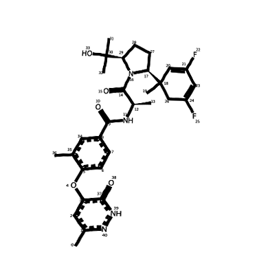 Cc1cc(Oc2ccc(C(=O)N[C@H](C)C(=O)N3[C@H](C4(C)C=C(F)C=C(F)C4)CC[C@@H]3C(C)(C)O)cc2C)c(=O)[nH]n1